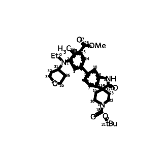 CCN(c1cc(-c2ccc3c(c2)NC(=O)C32CCN(C(=O)OC(C)(C)C)CC2)cc(C(=O)OC)c1C)C1CCOCC1